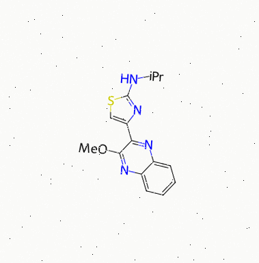 COc1nc2ccccc2nc1-c1csc(NC(C)C)n1